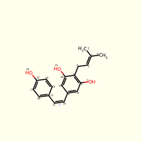 CC(C)=CCc1c(O)cc(/C=C\c2ccc(O)cc2)cc1O